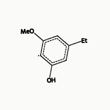 CCc1cc(O)[c]c(OC)c1